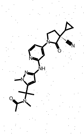 CC(=O)N(C)C(C)(C)c1cc(Nc2cc(N3CC[C@@](C#N)(C4CC4)C3=O)ccn2)nn1C